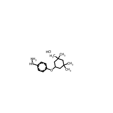 CC1(C)CC(Oc2ccc(NN)cc2)CC(C)(C)C1.Cl